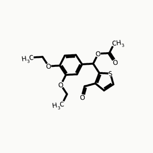 CCOc1ccc(C(OC(C)=O)c2sccc2C=O)cc1OCC